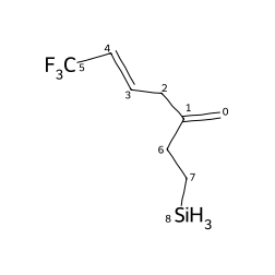 C=C(CC=CC(F)(F)F)CC[SiH3]